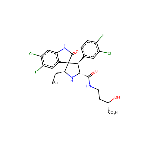 CC(C)(C)C[C@H]1N[C@@H](C(=O)NCC[C@H](O)C(=O)O)[C@H](c2ccc(F)c(Cl)c2)[C@@]12C(=O)Nc1cc(Cl)c(F)cc12